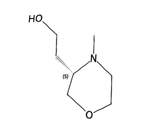 CN1CCOC[C@@H]1CCO